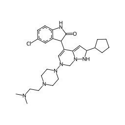 CN(C)CCN1CCN(N2C=C(C3C(=O)Nc4ccc(Cl)cc43)C3=CC(C4CCCC4)NN3C2)CC1